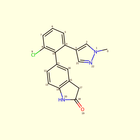 Cn1cc(-c2cccc(Cl)c2-c2ccc3c(c2)CC(=O)N3)cn1